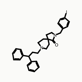 O=C1N(Cc2ccc(I)cc2)CCC12CCN(CCC(c1ccccc1)c1ccccc1)CC2